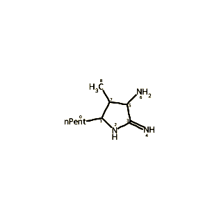 CCCCCC1NC(=N)C(N)C1C